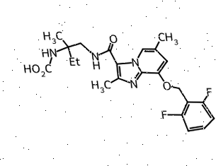 CCC(C)(CNC(=O)c1c(C)nc2c(OCc3c(F)cccc3F)cc(C)cn12)NC(=O)O